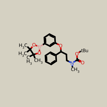 CN(CCC(Oc1cccc(B2OC(C)(C)C(C)(C)O2)c1)c1ccccc1)C(=O)OC(C)(C)C